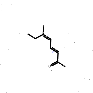 CC/C(C)=C\C=C\C(C)=O